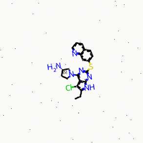 CCc1[nH]c2nc(Sc3ccc4cccnc4c3)nc(N3CC[C@H](N)C3)c2c1Cl